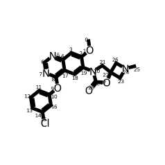 COc1cc2ncnc(Oc3cccc(Cl)c3)c2cc1N1CC2(CN(C)C2)OC1=O